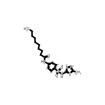 CCCCCCCCCC(=O)Nc1ccc(S(=O)(=O)Nc2nnc(C)s2)cc1